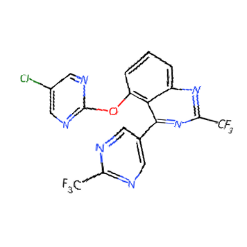 FC(F)(F)c1ncc(-c2nc(C(F)(F)F)nc3cccc(Oc4ncc(Cl)cn4)c23)cn1